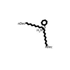 CCCCCCCCCCCCCCCCCCCC(N)(CCCCCCCCCCCCCCCCCCC)SC1CCCCCC1